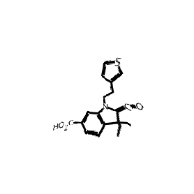 CC1(C)C(=C=O)N(CCc2ccsc2)c2cc(C(=O)O)ccc21